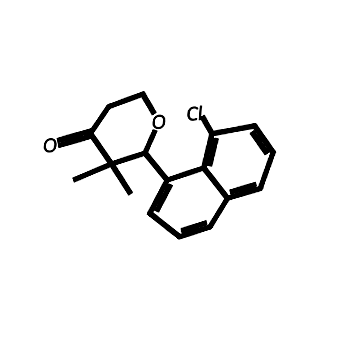 CC1(C)C(=O)CCOC1c1cccc2cccc(Cl)c12